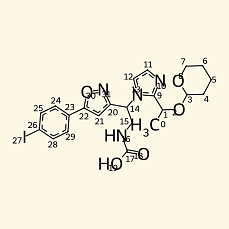 CC(OC1CCCCO1)c1nccn1C(CNC(=O)O)c1cc(-c2ccc(I)cc2)on1